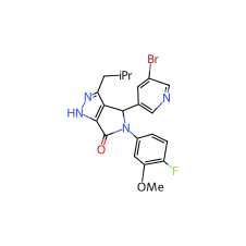 COc1cc(N2C(=O)c3[nH]nc(CC(C)C)c3C2c2cncc(Br)c2)ccc1F